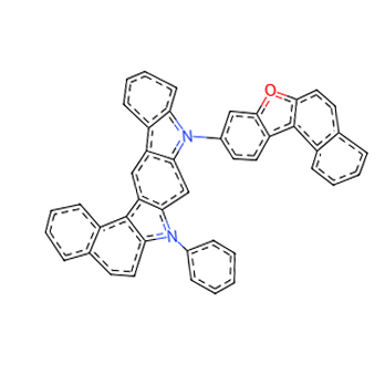 c1ccc(-n2c3cc4c(cc3c3c5ccccc5ccc32)c2ccccc2n4-c2ccc3c(c2)oc2ccc4ccccc4c23)cc1